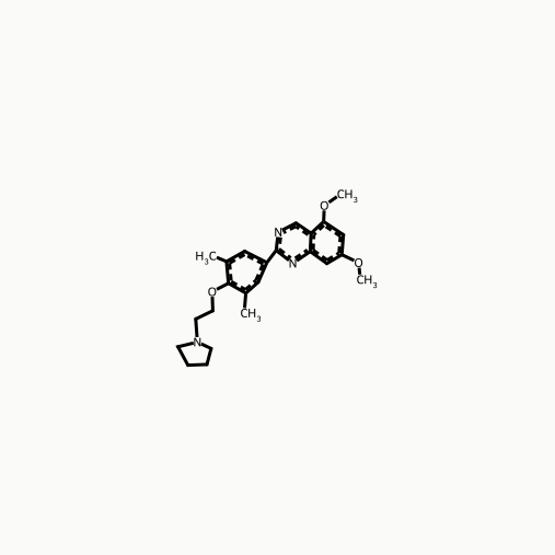 COc1cc(OC)c2cnc(-c3cc(C)c(OCCN4CCCC4)c(C)c3)nc2c1